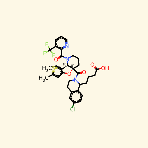 CCC[C@H]1N(C(=O)c2ncccc2C(F)(F)F)CCC[C@@]1(Oc1csc(C)c1)C(=O)N1CCc2cc(Cl)ccc2C1CCCC(=O)O